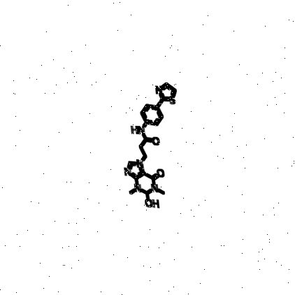 CN1C(=O)c2c(ncn2CCC(=O)Nc2ccc(-c3nccs3)cc2)N(C)C1O